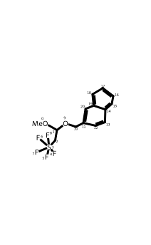 COC(CS(F)(F)(F)(F)F)OCc1ccc2ccccc2c1